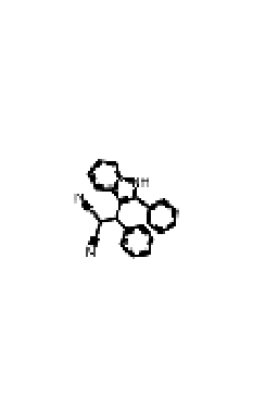 N#CC(C#N)C(c1ccccc1)c1c(-c2ccccc2)[nH]c2ccccc12